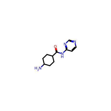 NC1CCC(C(=O)Nc2ccncn2)CC1